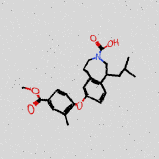 COC(=O)c1ccc(Oc2ccc3c(c2)CCN(C(=O)O)CC3CC(C)C)c(C)c1